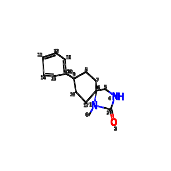 CN1C(=O)NCC12CCC(c1ccccc1)CC2